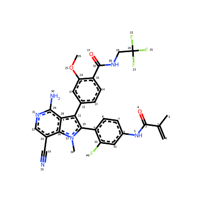 C=C(C)C(=O)Nc1ccc(-c2c(-c3ccc(C(=O)NCC(F)(F)F)c(OC)c3)c3c(N)ncc(C#N)c3n2C)c(F)c1